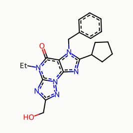 CCn1c(=O)c2c(nc(C3CCCC3)n2Cc2ccccc2)n2nc(CO)nc12